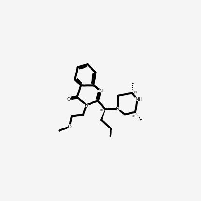 CCC[C@@H](c1nc2ccccc2c(=O)n1CCOC)N1C[C@@H](C)N[C@@H](C)C1